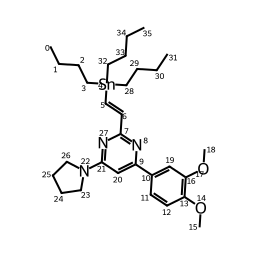 CCC[CH2][Sn](/[CH]=C/c1nc(-c2ccc(OC)c(OC)c2)cc(N2CCCC2)n1)([CH2]CCC)[CH2]CCC